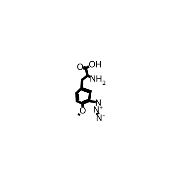 COc1ccc(CC(N)C(=O)O)cc1N=[N+]=[N-]